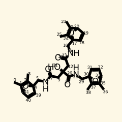 CC1=C(C)C2(CNC(=O)CC(O)(CC(=O)NCC34C=CC(O3)C(C)=C4C)C(=O)NCC34C=CC(O3)C(C)=C4C)C=CC1O2